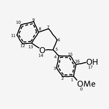 COc1ccc(C2CCc3ccccc3O2)cc1O